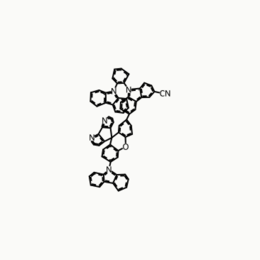 N#Cc1ccc2c(c1)c1cc(-c3ccc4c(c3)C3(c5ccc(-n6c7ccccc7c7ccccc76)cc5O4)c4cccnc4-c4ncccc43)ccc1n2-c1ccccc1-n1c2ccccc2c2ccccc21